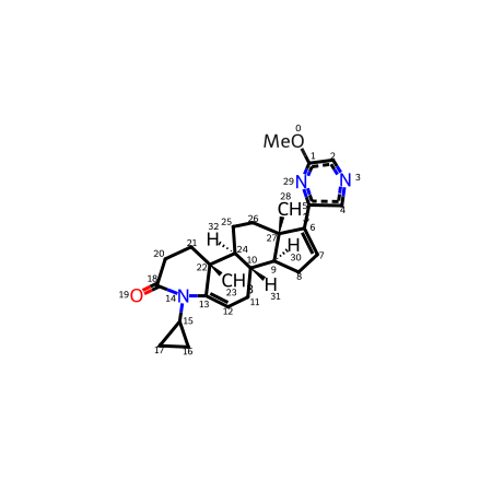 COc1cncc(C2=CC[C@H]3[C@@H]4CC=C5N(C6CC6)C(=O)CC[C@]5(C)[C@H]4CC[C@]23C)n1